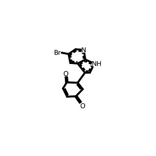 O=C1C=CC(=O)C(c2c[nH]c3ncc(Br)cc23)=C1